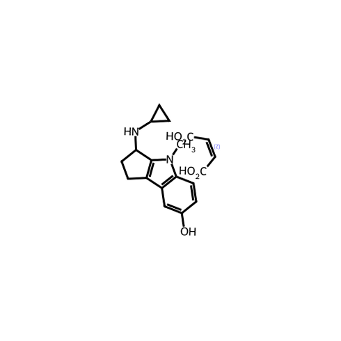 Cn1c2c(c3cc(O)ccc31)CCC2NC1CC1.O=C(O)/C=C\C(=O)O